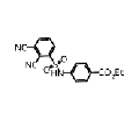 CCOC(=O)c1ccc(NS(=O)(=O)c2cccc(C#N)c2C#N)cc1